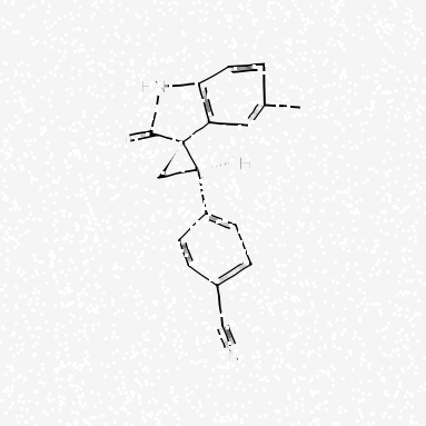 C[C@]1(c2ccc(C#N)cc2)C[C@]12C(=O)Nc1ccc(F)cc12